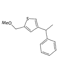 COCc1cc(C(C)c2ccccc2)cs1